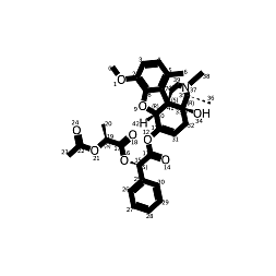 COc1ccc(C)c2c1O[C@H]1C(OC(=O)[C@@H](OC(=O)[C@H](C)OC(C)=O)c3ccccc3)=CC[C@@]3(O)[C@@H](C)N(C)CC[C@]213